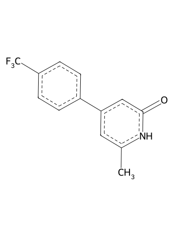 Cc1cc(-c2ccc(C(F)(F)F)cc2)cc(=O)[nH]1